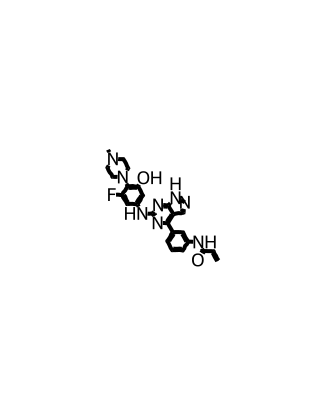 C=CC(=O)Nc1cccc(-c2nc(Nc3cc(O)c(N4CCN(C)CC4)c(F)c3)nc3[nH]ncc23)c1